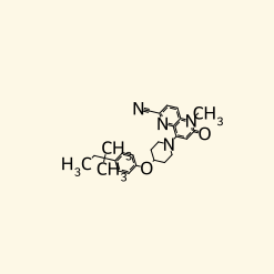 CCC(C)(C)c1ccc(OC2CCN(c3cc(=O)n(C)c4ccc(C#N)nc34)CC2)cc1